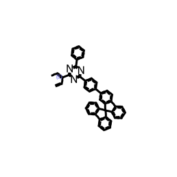 C=C/C(=C\C)c1nc(-c2ccccc2)nc(-c2ccc(-c3ccc4c(c3)C3(c5ccccc5-c5ccccc53)c3ccccc3-4)cc2)n1